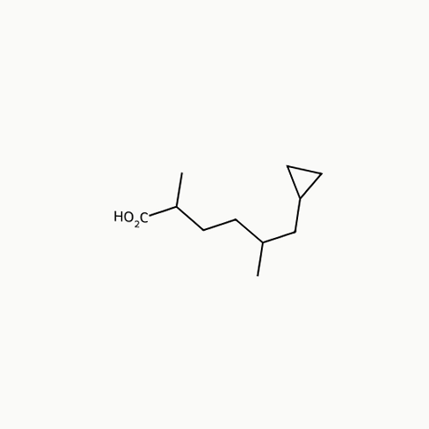 CC(CCC(C)C(=O)O)CC1CC1